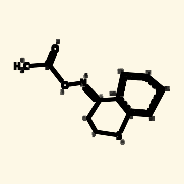 CC(=O)O/N=C1\CCSc2ccccc21